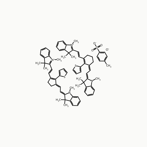 CN1C(=CC=C2CCC(C=CC3=[N+](C)c4ccccc4C3(C)C)=C2c2cccs2)C(C)(C)c2ccccc21.CN1C(=CC=C2CCCC(C=CC3=[N+](C)c4ccccc4C3(C)C)=C2c2cccs2)C(C)(C)c2ccccc21.Cc1ccc(S(=O)(=O)[O-])cc1.[Cl-]